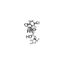 CC1CC(C)N(C[C@H](O)CNS(=O)(=O)c2cc(Cl)ccc2Cl)C1